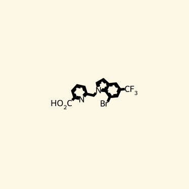 O=C(O)c1cccc(Cn2ccc3cc(C(F)(F)F)cc(Br)c32)n1